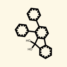 OC1(O)c2ccccc2-c2ccc(-c3ccccc3)c(-c3ccccc3)c21